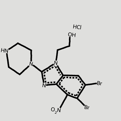 Cl.O=[N+]([O-])c1c(Br)c(Br)cc2c1nc(N1CCNCC1)n2CCO